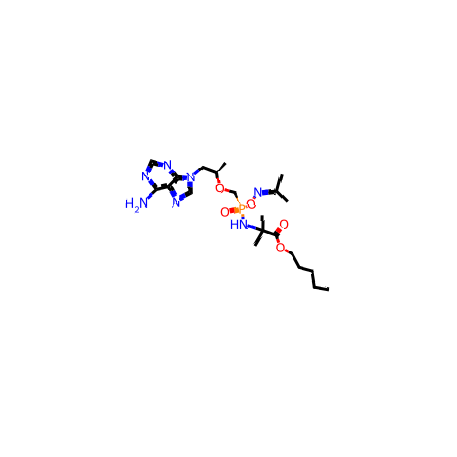 CCCCCOC(=O)C(C)(C)N[P@@](=O)(CO[C@H](C)Cn1cnc2c(N)ncnc21)ON=C(C)C